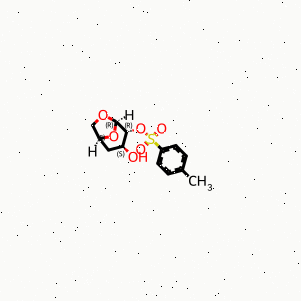 Cc1ccc(S(=O)(=O)O[C@H]2[C@@H]3OC[C@H](C[C@@H]2O)O3)cc1